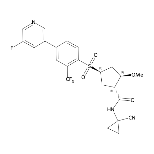 CO[C@@H]1C[C@H](S(=O)(=O)c2ccc(-c3cncc(F)c3)cc2C(F)(F)F)C[C@H]1C(=O)NC1(C#N)CC1